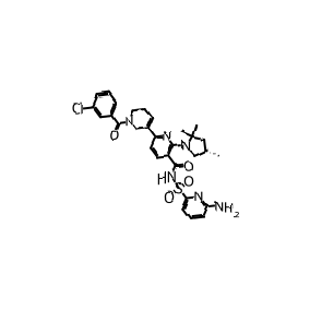 C[C@@H]1CN(c2nc(C3=CCCN(C(=O)c4cccc(Cl)c4)C3)ccc2C(=O)NS(=O)(=O)c2cccc(N)n2)C(C)(C)C1